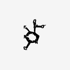 O=[N+]([O-])c1cnc(Cl)nc1F